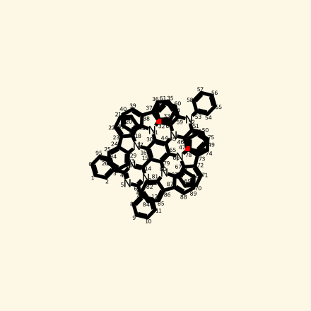 c1ccc(-c2nc(-c3ccccc3)nc(-c3c(-n4c5ccccc5c5ccccc54)c(-n4c5ccccc5c5ccccc54)c(N4c5ccccc5N(c5ccccc5)c5ccccc54)c(-n4c5ccccc5c5ccccc54)c3-n3c4ccccc4c4ccccc43)n2)cc1